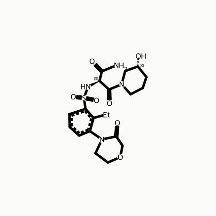 CCc1c(N2CCOCC2=O)cccc1S(=O)(=O)N[C@@H](C(N)=O)C(=O)N1CCC[C@@H](O)C1